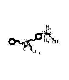 CCCn1c(CCc2ccc(OC(C)(C)C(=O)OCC)cc2)nn(CCc2ccccc2)c1=O